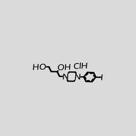 Cl.OCCC(O)CN1CCN(c2ccc(I)cc2)CC1